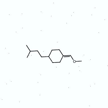 COC=C1CCC(CCC(C)C)CC1